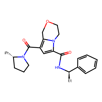 CC[C@@H](NC(=O)c1cc(C(=O)N2CCC[C@@H]2C(C)C)c2n1CCOC2)c1ccccc1